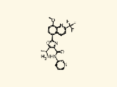 COc1ccc(-c2nc(C(=O)Nc3cccnc3)c([C@H](C)N)o2)c2ccc(C(F)(F)F)nc12